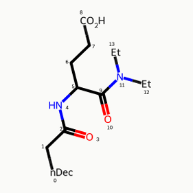 CCCCCCCCCCCC(=O)NC(CCC(=O)O)C(=O)N(CC)CC